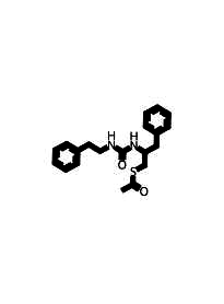 CC(=O)SCC(Cc1ccccc1)NC(=O)NCCc1ccccc1